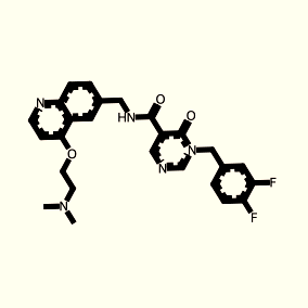 CN(C)CCOc1ccnc2ccc(CNC(=O)c3cncn(Cc4ccc(F)c(F)c4)c3=O)cc12